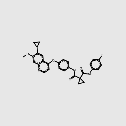 COc1cc2nccc(Oc3ccc(NC(=O)C4(C(=O)Nc5ccc(F)cc5)CC4)cc3)c2cc1C1CC1